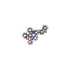 c1ccc(-n2c3ccccc3c3c2c2oc4ccccc4c2c2c4ccccc4n(-c4ccc(-c5ccc6sc7ccccc7c6c5)cc4)c23)cc1